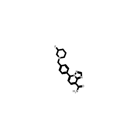 NC(=O)c1ccc(-c2ccc(CN3CCCC(F)C3)cc2)n2n[c]nc12